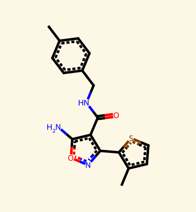 Cc1ccc(CNC(=O)c2c(-c3sccc3C)noc2N)cc1